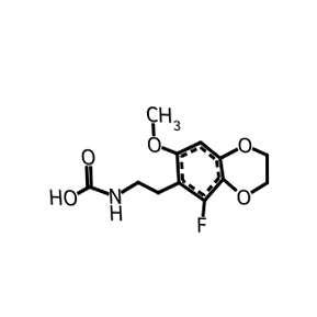 COc1cc2c(c(F)c1CCNC(=O)O)OCCO2